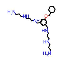 NCCCNCCCNCc1cc(CNCCCNCCCN)cc(OCC2CCCCC2)c1